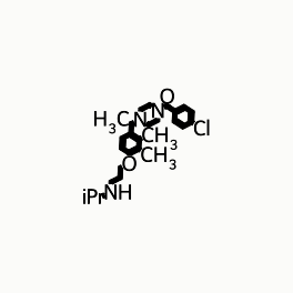 Cc1c(OCCCNC(C)C)ccc([C@@H](C)N2CCN(C(=O)c3ccc(Cl)cc3)CC2)c1C